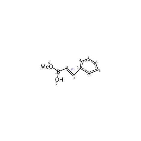 COB(O)/C=C/c1ccccc1